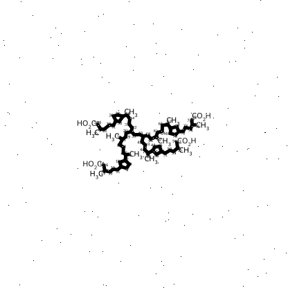 CC(CCCC(C)C1CCC(CCCC(C)CC(=O)O)C1)CCC(CCCC(C)C1CCC(CCCC(C)CC(=O)O)C1)CCC(CCCC(C)C1CCC(CCCC(C)CC(=O)O)C1)CCC(C)CCCC(C)C1CCC(CCCC(C)CC(=O)O)C1